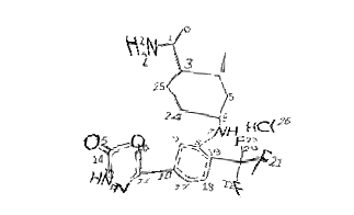 CC(N)C1CCC(Nc2cc(-c3n[nH]c(=O)o3)ccc2C(F)(F)F)CC1.Cl